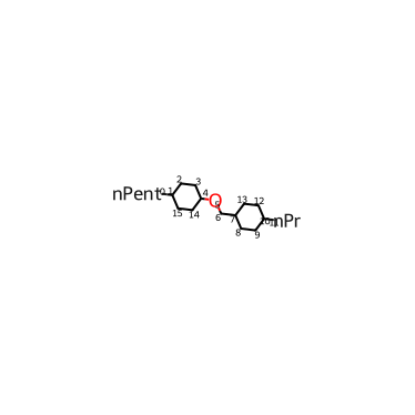 CCCCCC1CCC(OCC2CCC(CCC)CC2)CC1